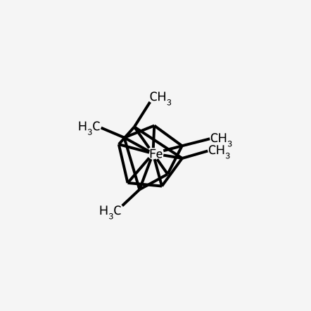 C[C]12[CH]3[C]4(C)[C]5(C)[CH]1[Fe]32451678[CH]2[CH]1[C]6(C)[C]7(C)[CH]28